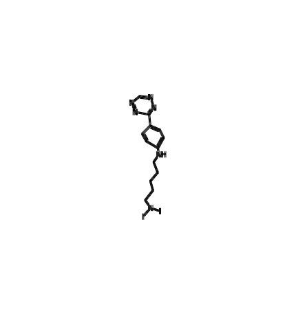 IN(I)CCCCCNc1ccc(-c2nncnn2)cc1